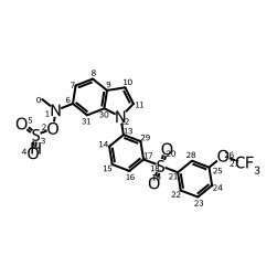 CN(O[SH](=O)=O)c1ccc2ccn(-c3cccc(S(=O)(=O)c4cccc(OC(F)(F)F)c4)c3)c2c1